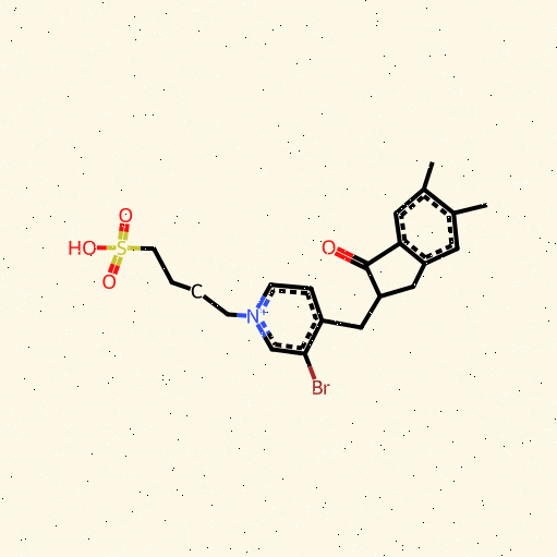 Cc1cc2c(cc1C)C(=O)C(Cc1cc[n+](CCCCS(=O)(=O)O)cc1Br)C2